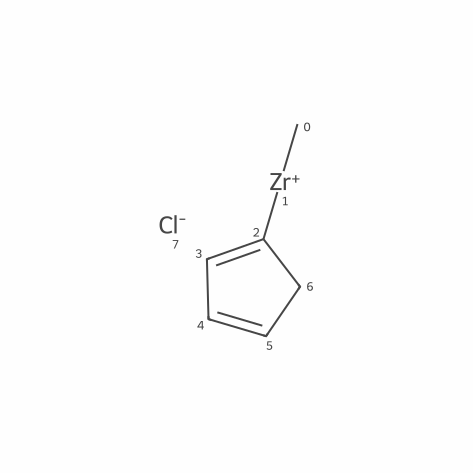 [CH3][Zr+][C]1=CC=CC1.[Cl-]